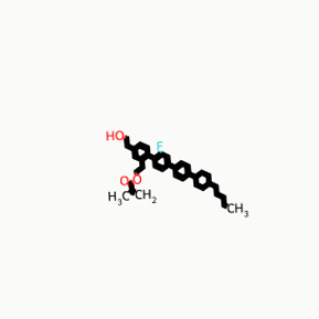 C=C(C)C(=O)OCCc1cc(CCO)ccc1-c1ccc(-c2ccc(C3CCC(CCCCC)CC3)cc2)cc1F